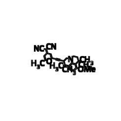 COc1ccc2c3c1C(C)(C)CCN3CC(C#CC1=CC(=C(C#N)C#N)C=C(C)O1)C2(C)C